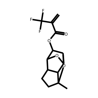 C=C(C(=O)OC1C2OC3C1OC1(C)CCC2C31)C(F)(F)F